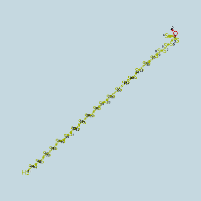 COS(=S)(=S)SSSSSSSSSSSSSSSSSSSSSSSSSSSSSSSSSSSSSSSSS